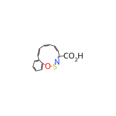 O=C(O)c1ccccccc2ccccc2osn1